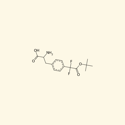 CC(C)(C)OC(=O)C(F)(F)c1ccc(CC(N)C(=O)O)cc1